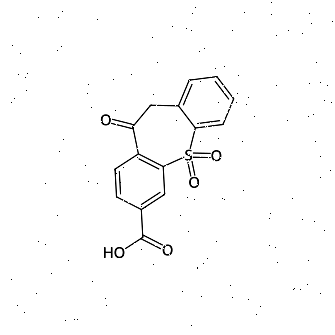 O=C(O)c1ccc2c(c1)S(=O)(=O)c1ccccc1CC2=O